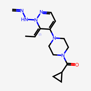 C=NNN1N=CC=C(N2CCN(C(=O)C3CC3)CC2)/C1=C/C